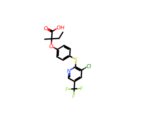 CCC(C)(Oc1ccc(Sc2ncc(C(F)(F)F)cc2Cl)cc1)C(=O)O